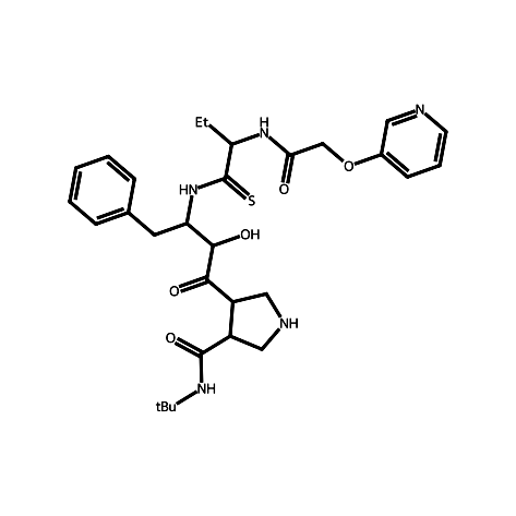 CCC(NC(=O)COc1cccnc1)C(=S)NC(Cc1ccccc1)C(O)C(=O)C1CNCC1C(=O)NC(C)(C)C